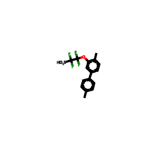 Cc1ccc(-c2ccc(C)c(OC(F)(F)C(F)(F)S(=O)(=O)O)c2)cc1